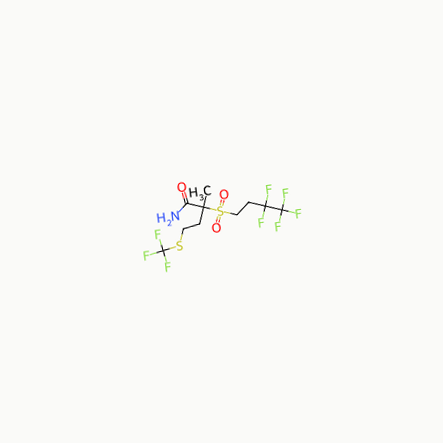 CC(CCSC(F)(F)F)(C(N)=O)S(=O)(=O)CCC(F)(F)C(F)(F)F